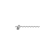 CCCCCCCCCCCCCCCCOC(Br)CC